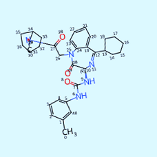 Cc1cccc(NC(=O)N[C@@H]2N=C(C3CCCCC3)c3ccccc3N(CC(=O)N3CC4CCC(CC4)C3)C2=O)c1